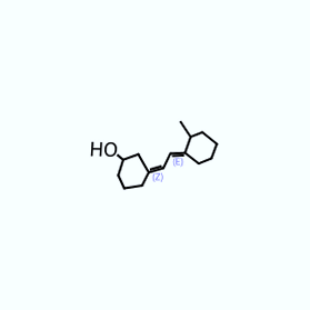 CC1CCCC/C1=C\C=C1\CCCC(O)C1